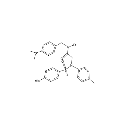 CCN(Cc1ccc(N(C)C)cc1)C(=O)CN(c1ccc(C)cc1)S(=O)(=O)c1ccc(C(C)(C)C)cc1